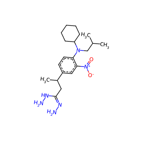 CC(C)CN(c1ccc(C(C)C/C(=N/N)NN)cc1[N+](=O)[O-])C1CCCCC1